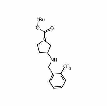 CC(C)(C)OC(=O)N1CCC(NCc2ccccc2C(F)(F)F)C1